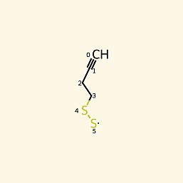 C#CCCS[S]